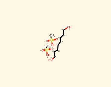 CS(=O)(=O)O.CS(=O)(=O)O.OCCCCCCCCO